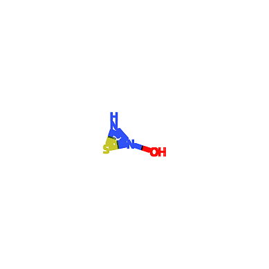 On1[nH]s1